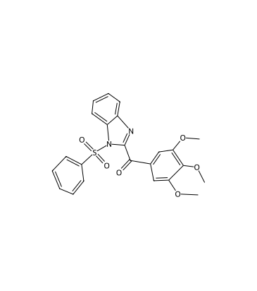 COc1cc(C(=O)c2nc3ccccc3n2S(=O)(=O)c2ccccc2)cc(OC)c1OC